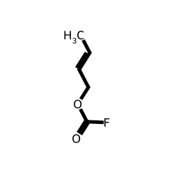 C/C=C/COC(=O)F